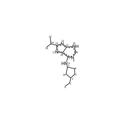 CCC1CCC(Nc2nc[nH]c3nc(C(C)C)nc2-3)C1